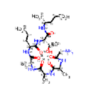 CC[C@H](C)[C@H](N)C(=O)N[C@@H](C)C(=O)N[C@@H](C)C(=O)N[C@H](C(=O)N[C@@H](CCC(=O)O)C(=O)N[C@@H](CO)C(=O)N[C@@H](CCC(=O)O)C(=O)O)[C@@H](C)CC